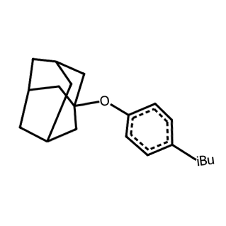 CCC(C)c1ccc(OC23CC4CC(CC(C4)C2)C3)cc1